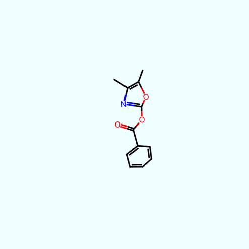 Cc1nc(OC(=O)c2ccccc2)oc1C